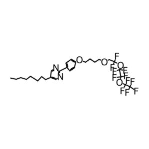 CCCCCCCCc1cnc(-c2ccc(OCCCCOCC(F)(F)OC(F)(F)C(F)(F)OC(F)(F)C(F)(F)F)cc2)nc1